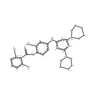 O=C(Nc1ccc(Nc2nc(N3CCCCC3)nc(N3CCCCC3)n2)cc1O)c1c(Cl)cccc1Cl